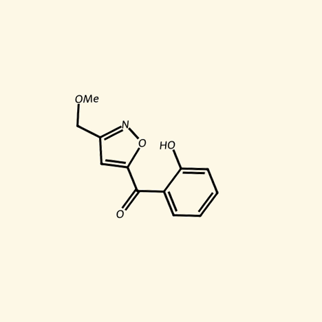 COCc1cc(C(=O)c2ccccc2O)on1